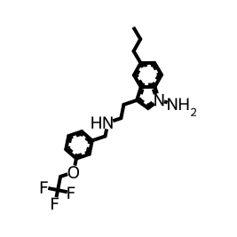 CCCc1ccc2c(c1)c(CCNCc1cccc(OCC(F)(F)F)c1)cn2N